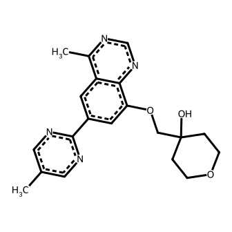 Cc1cnc(-c2cc(OCC3(O)CCOCC3)c3ncnc(C)c3c2)nc1